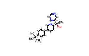 CC(C)(C#N)c1ccc(-c2ccc(C(O)(c3cnccn3)C(C)(C)C)nc2)cc1